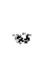 I.NC1C(=O)N2C(C(=O)[O-])=C(Cn3cc[n+]4ccc(CO)c-4c3)CS[C@H]12